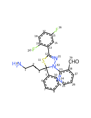 NCCCC1(c2ccccc2)SC(c2cc(F)ccc2F)=NN1c1ncccc1C=O